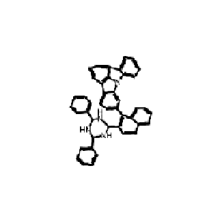 c1ccc(C2NC(c3ccccc3)NC(c3ccc4ccccc4c3-c3ccc4c5cccc6c7ccccc7n(c4c3)c65)N2)cc1